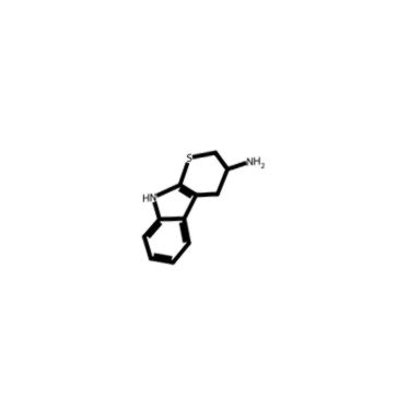 NC1CSc2[nH]c3ccccc3c2C1